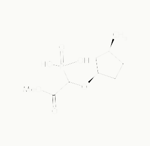 COC(=O)C(O[C@@H]1CC[C@H](C)C1)P(=O)(O)O